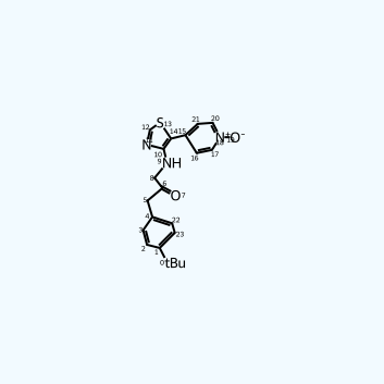 CC(C)(C)c1ccc(CC(=O)CNc2ncsc2-c2cc[n+]([O-])cc2)cc1